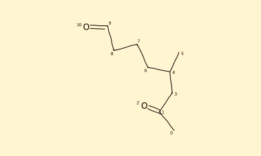 CC(=O)CC(C)CCCC=O